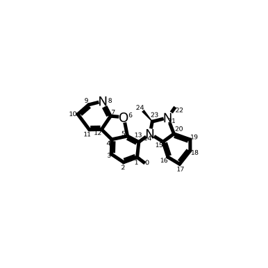 Cc1ccc2c(oc3ncccc32)c1N1c2ccccc2N(C)[C@@H]1C